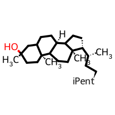 CCC[C@H](C)CC[C@@H](C)[C@H]1CCC2[C@@H]3CCC4C[C@@](C)(O)CC[C@]4(C)C3CC[C@@]21C